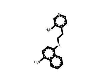 Nc1cnccc1CCOc1ccc(N)c2ccccc12